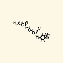 C=COC(=O)CCOCOC(=C=Nc1ccc2c(c1)OCO2)C#N